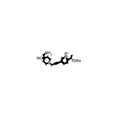 CO[C@@H](C)c1ccc(C#CCN2CCC(C#N)(CN)CC2)c[n+]1[O-]